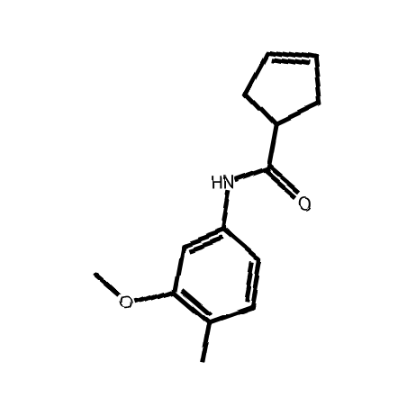 COc1cc(NC(=O)C2CC=CC2)ccc1C